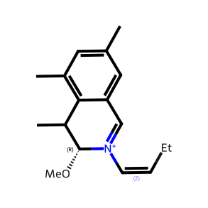 CC/C=C\[N+]1=Cc2cc(C)cc(C)c2C(C)[C@H]1OC